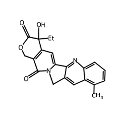 CCC1(O)C(=O)OCc2c1cc1n(c2=O)Cc2cc3c(C)cccc3nc2-1